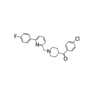 O=C(c1ccc(Cl)cc1)C1CCN(Cc2cccc(-c3ccc(F)cc3)n2)CC1